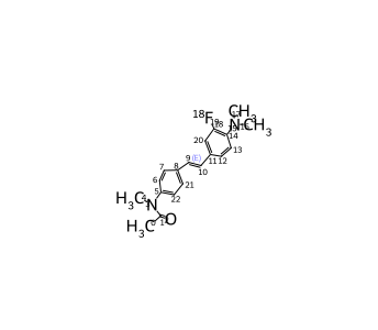 CC(=O)N(C)c1ccc(/C=C/c2ccc(N(C)C)c([18F])c2)cc1